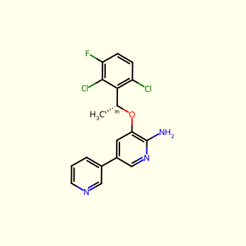 C[C@@H](Oc1cc(-c2cccnc2)cnc1N)c1c(Cl)ccc(F)c1Cl